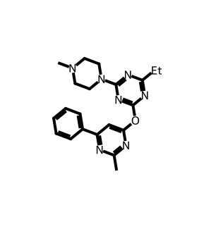 CCc1nc(Oc2cc(-c3ccccc3)nc(C)n2)nc(N2CCN(C)CC2)n1